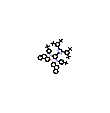 CC(C)(C)c1ccc(N2c3cc(-c4nc(-c5cc(C(C)(C)C)cc(C(C)(C)C)c5)cc(-c5cc(C(C)(C)C)cc(C(C)(C)C)c5)n4)cc4c3B(c3ccc5c(ccc6ccccc65)c32)c2ccc3c(ccc5ccccc53)c2N4c2ccc(C(C)(C)C)cc2)cc1